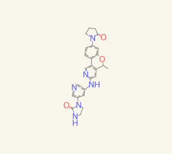 CC1Oc2cc(N3CCCC3=O)ccc2-c2cnc(Nc3cncc(N4CCNC4=O)c3)cc21